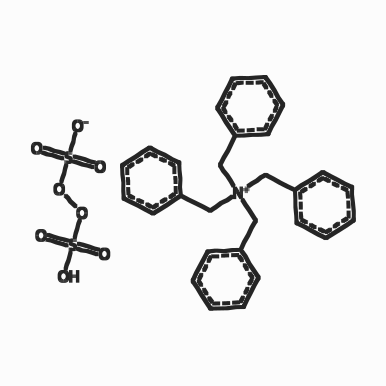 O=S(=O)([O-])OOS(=O)(=O)O.c1ccc(C[N+](Cc2ccccc2)(Cc2ccccc2)Cc2ccccc2)cc1